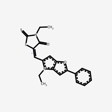 CCN1C(=O)/C(=C\c2cc3oc(-c4ccccc4)cc3n2CC)SC1=S